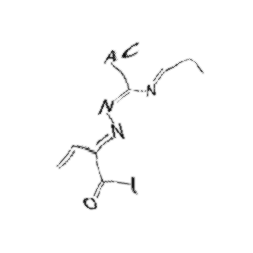 C=C\C(=N/N=C(\N=C\C)C(C)=O)C(=O)I